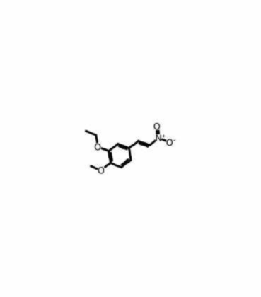 CCOc1cc(C=C[N+](=O)[O-])ccc1OC